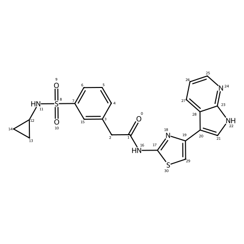 O=C(Cc1cccc(S(=O)(=O)NC2CC2)c1)Nc1nc(-c2c[nH]c3ncccc23)cs1